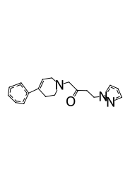 O=C(CCn1cccn1)CN1CC=C(c2ccccc2)CC1